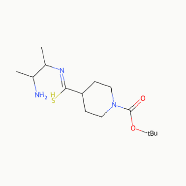 CC(N)C(C)/N=C(\S)C1CCN(C(=O)OC(C)(C)C)CC1